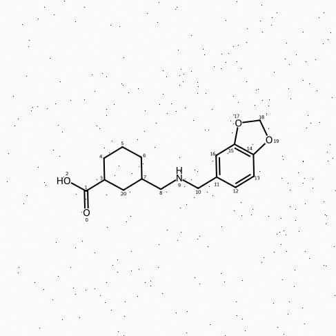 O=C(O)C1CCCC(CNCc2ccc3c(c2)OCO3)C1